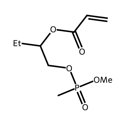 C=CC(=O)OC(CC)COP(C)(=O)OC